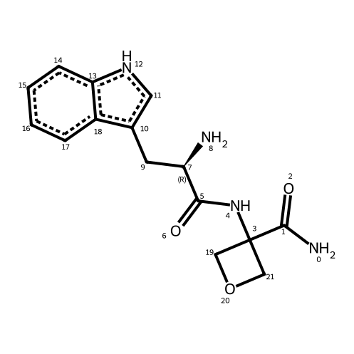 NC(=O)C1(NC(=O)[C@H](N)Cc2c[nH]c3ccccc23)COC1